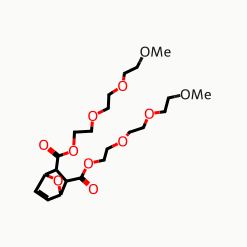 COCCOCCOCCOC(=O)C1C2C=CC(O2)C1C(=O)OCCOCCOCCOC